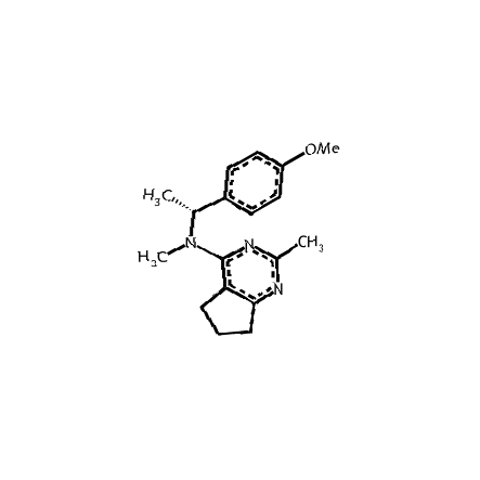 COc1ccc([C@@H](C)N(C)c2nc(C)nc3c2CCC3)cc1